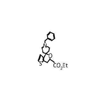 CCOC(=O)CC1Cc2sccc2C2(CCN(Cc3ccccc3)CC2)O1